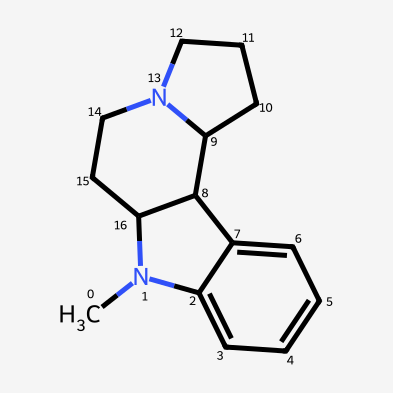 CN1c2ccccc2C2C3CCCN3CCC21